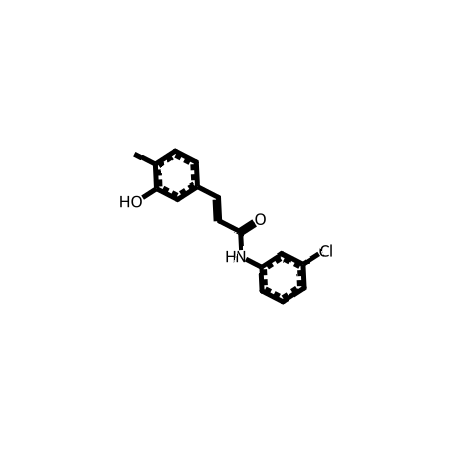 Cc1ccc(/C=C/C(=O)Nc2cccc(Cl)c2)cc1O